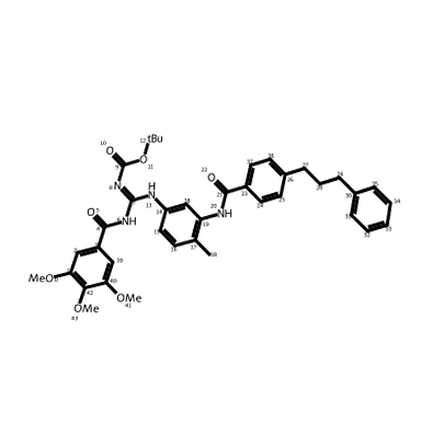 COc1cc(C(=O)NC(=NC(=O)OC(C)(C)C)Nc2ccc(C)c(NC(=O)c3ccc(CCCc4ccccc4)cc3)c2)cc(OC)c1OC